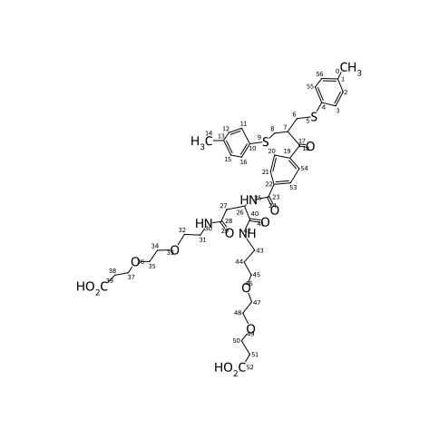 Cc1ccc(SCC(CSc2ccc(C)cc2)C(=O)c2ccc(C(=O)NC(CC(=O)NCCOCCOCCC(=O)O)C(=O)NCCCOCCOCCC(=O)O)cc2)cc1